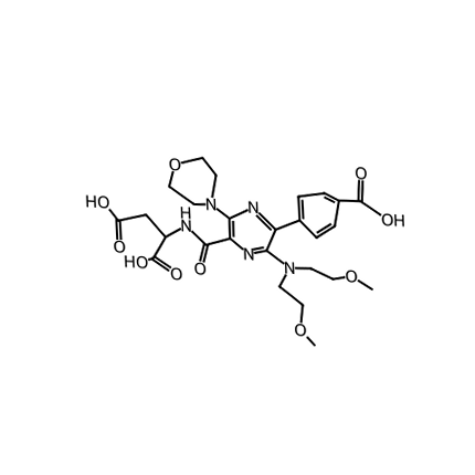 COCCN(CCOC)c1nc(C(=O)NC(CC(=O)O)C(=O)O)c(N2CCOCC2)nc1-c1ccc(C(=O)O)cc1